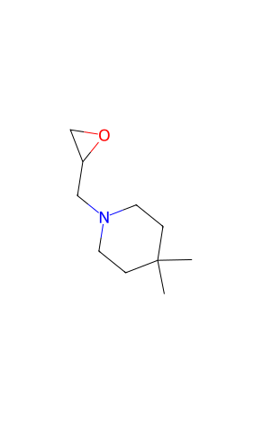 CC1(C)CCN(CC2CO2)CC1